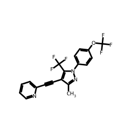 Cc1nn(-c2ccc(OC(F)(F)F)cc2)c(C(F)(F)F)c1C#Cc1ccccn1